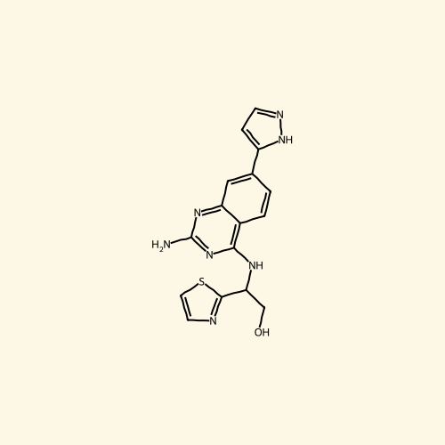 Nc1nc(NC(CO)c2nccs2)c2ccc(-c3ccn[nH]3)cc2n1